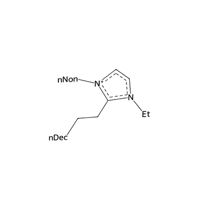 CCCCCCCCCCCCc1n(CC)cc[n+]1CCCCCCCCC